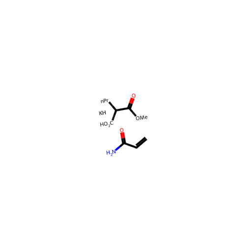 C=CC(N)=O.CCCC(C(=O)O)C(=O)OC.[KH]